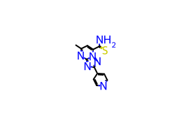 Cc1cc(C(N)=S)n2nc(-c3ccncc3)nc2n1